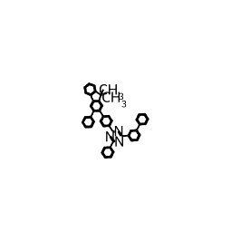 CC1(C)c2ccccc2-c2cc(-c3ccccc3)c(-c3ccc(-c4nc(-c5ccccc5)nc(-c5cccc(-c6ccccc6)c5)n4)cc3)cc21